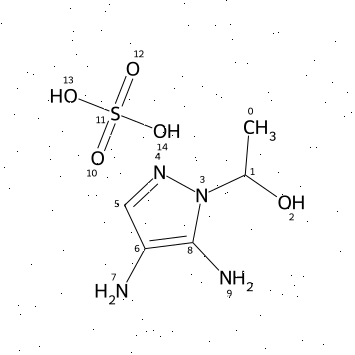 CC(O)n1ncc(N)c1N.O=S(=O)(O)O